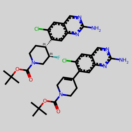 CC(C)(C)OC(=O)N1CC=C(c2cc3nc(N)ncc3cc2Cl)CC1.CC(C)(C)OC(=O)N1CC[C@H](c2cc3nc(N)ncc3cc2Cl)[C@@H](F)C1